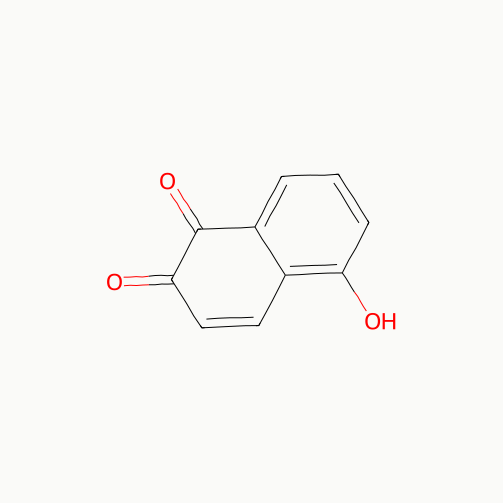 O=C1C=Cc2c(O)cccc2C1=O